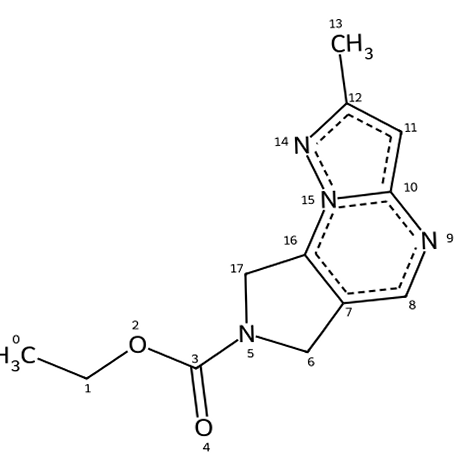 CCOC(=O)N1Cc2cnc3cc(C)nn3c2C1